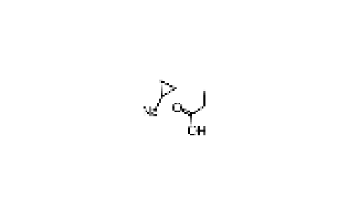 CCC(=O)O.[Na][CH]1CC1